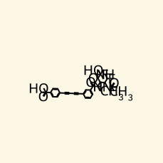 CCN(C(=O)c1cccc(C#CC#Cc2ccc(C(=O)O)cc2)c1)C(C(=O)NO)C(NC(C)=O)C(F)F